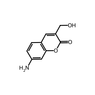 Nc1ccc2cc(CO)c(=O)oc2c1